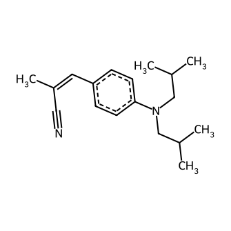 C/C(C#N)=C/c1ccc(N(CC(C)C)CC(C)C)cc1